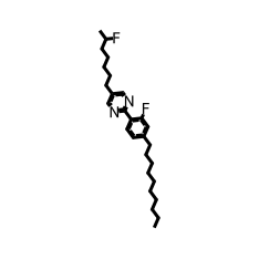 CCCCCCCCCCc1ccc(-c2ncc(CCCCCC(C)F)cn2)c(F)c1